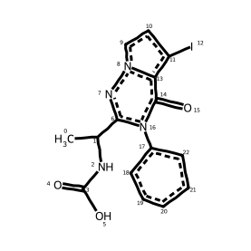 CC(NC(=O)O)c1nn2ccc(I)c2c(=O)n1-c1ccccc1